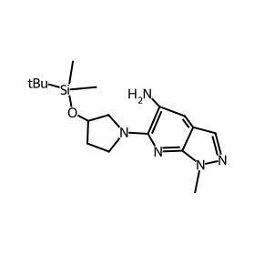 Cn1ncc2cc(N)c(N3CCC(O[Si](C)(C)C(C)(C)C)C3)nc21